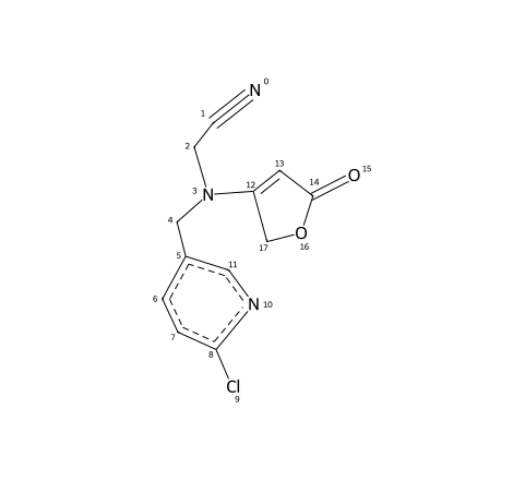 N#CCN(Cc1ccc(Cl)nc1)C1=CC(=O)OC1